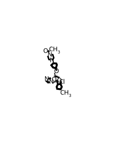 CC(=O)N1CCN(c2ccc(OC[C@H]3CO[C@](Cn4ccnc4)(c4ccc(C)cc4Cl)O3)cc2)CC1